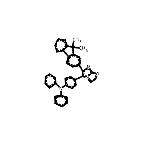 CC1(C)c2ccccc2-c2ccc(-c3nc4occn4c3-c3ccc(N(c4ccccc4)c4ccccc4)cc3)cc21